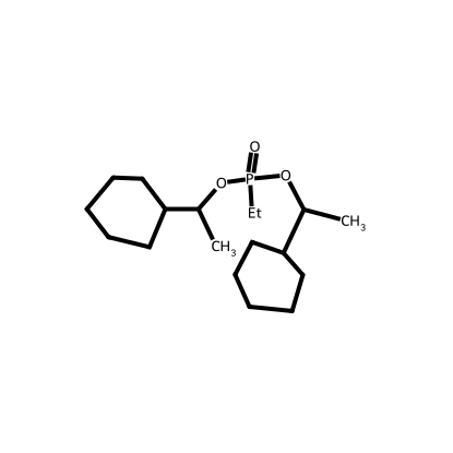 CCP(=O)(OC(C)C1CCCCC1)OC(C)C1CCCCC1